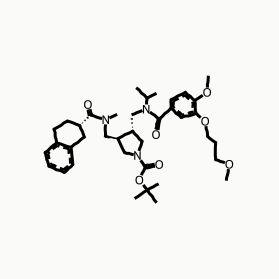 COCCCOc1cc(C(=O)N(C[C@@H]2CN(C(=O)OC(C)(C)C)C[C@H]2CN(C)C(=O)[C@H]2CCc3ccccc3C2)C(C)C)ccc1OC